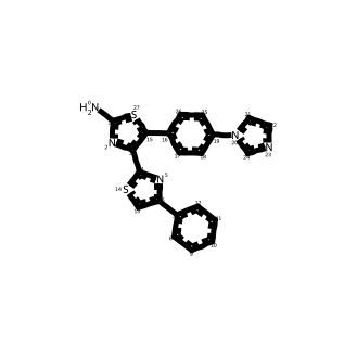 Nc1nc(-c2nc(-c3ccccc3)cs2)c(-c2ccc(-n3ccnc3)cc2)s1